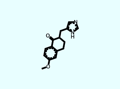 COc1ccc2c(c1)CCC(Cc1cnc[nH]1)C2=O